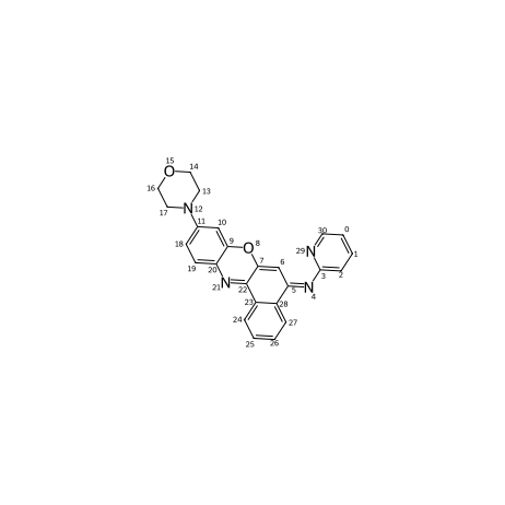 c1ccc(/N=c2\cc3oc4cc(N5CCOCC5)ccc4nc-3c3ccccc23)nc1